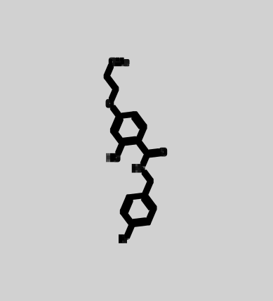 COCCOc1ccc(C(=O)NCc2ccc(Br)cc2)c(O)c1